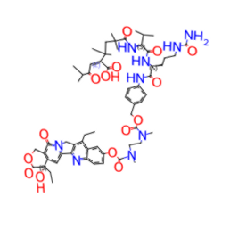 CCc1c2c(nc3ccc(OC(=O)N(C)CCN(C)C(=O)OCc4ccc(NC(=O)[C@H](CCCNC(N)=O)NC(=O)[C@@H](NC(=O)C(C)(C)CC(C)(C)/C(=C/C(=O)C(C)C)C(=O)O)C(C)C)cc4)cc13)-c1cc3c(c(=O)n1C2)COC(=O)[C@]3(O)CC